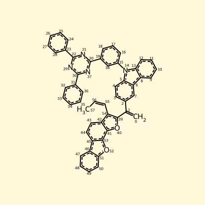 C=C(c1ccc2c(c1)c1ccccc1n2-c1cccc(-c2nc(-c3ccccc3)nc(-c3ccccc3)n2)c1)c1oc2c(ccc3c4ccccc4oc32)c1/C=C\C